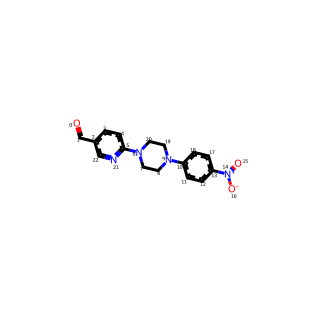 O=Cc1ccc(N2CCN(c3ccc([N+](=O)[O-])cc3)CC2)nc1